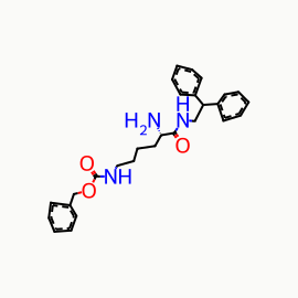 N[C@@H](CCCCNC(=O)OCc1ccccc1)C(=O)NCC(c1ccccc1)c1ccccc1